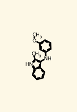 COc1cccc(Nc2c(C)[nH]c3ccccc23)c1